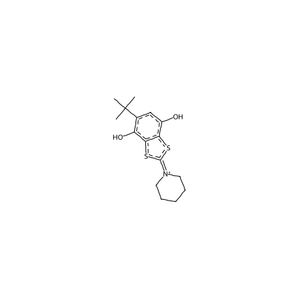 CC(C)(C)c1cc(O)c2sc(=[N+]3CCCCC3)sc2c1O